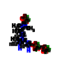 CCCCc1[nH]cc[n+]1C.CCc1[nH]cc[n+]1C.CCc1[nH]cc[n+]1C.Cc1n(C)cc[n+]1C.O=S(=O)(O)C(F)(F)F.O=S(=O)(O)C(F)(F)F.O=S(=O)(O)C(F)(F)F